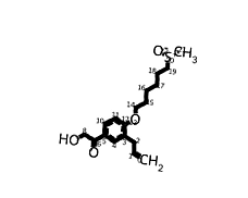 C=CCc1cc(C(=O)CO)ccc1OCCCCCC[S+](C)[O-]